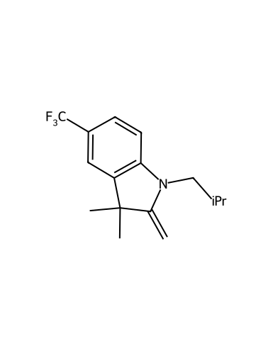 C=C1N(CC(C)C)c2ccc(C(F)(F)F)cc2C1(C)C